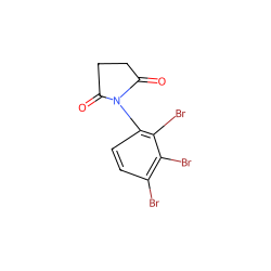 O=C1CCC(=O)N1c1ccc(Br)c(Br)c1Br